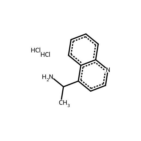 CC(N)c1ccnc2ccccc12.Cl.Cl